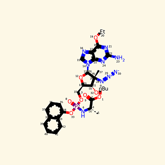 CCCCOC(=O)[C@H](C)NP(=O)(OC[C@H]1O[C@@H](n2cnc3c(OCC)nc(N)nc32)[C@](C)(N=[N+]=[N-])[C@@H]1O)Oc1cccc2ccccc12